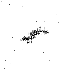 Cc1[nH]c(C=C2C(=O)Nc3cc(NC(=O)Nc4cc(C(C)(C)C)on4)ccc32)c(C)c1NC(=O)CCNC(C)(C)C